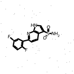 NS(=O)(=O)c1c[nH]c2nc(-c3cc(F)ccc3F)ccc12